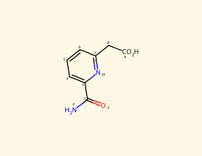 NC(=O)c1cccc(CC(=O)O)n1